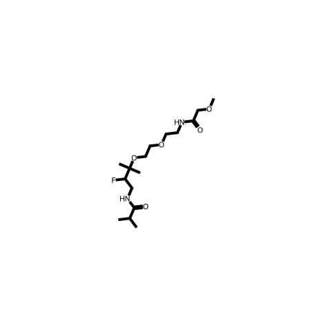 COCC(=O)NCCOCCOC(C)(C)C(F)CNC(=O)C(C)C